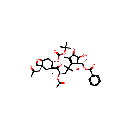 CC(=O)C[C@@]12COC1C[C@H](OC(=O)OC(C)(C)C)[C@@](C)(C(=O)[C@@H](CC(C)(C)C1=C(C)C(=O)C(O)[C@@]1(O)[C@H](C)OC(=O)c1ccccc1)OC(C)=O)C2